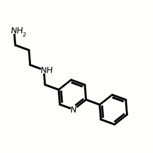 NCCCNCc1ccc(-c2ccccc2)nc1